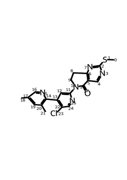 CSc1ncc2c(n1)CCN(c1cc(-c3ncc(C)cc3C)c(Cl)cn1)C2=O